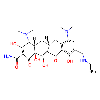 CN(C)c1cc(CNCC(C)(C)C)c(O)c2c1C[C@H]1C[C@H]3[C@@H](N(C)C)C(O)=C(C(N)=O)C(=O)[C@@]3(O)C(O)=C1C2=O